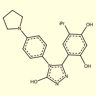 CC(C)c1cc(-c2nnc(O)n2-c2ccc(N3CCCC3)cc2)c(O)cc1O